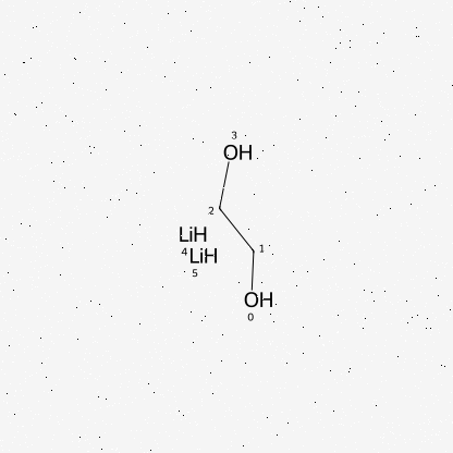 OCCO.[LiH].[LiH]